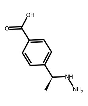 C[C@H](NN)c1ccc(C(=O)O)cc1